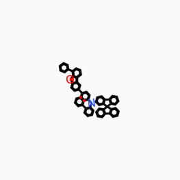 c1ccc(-c2ccccc2N(c2ccc(-c3ccc4oc5c(-c6ccccc6)cccc5c4c3)cc2)c2ccc3c(c2)C2(c4ccccc4-c4ccccc42)c2ccccc2-3)cc1